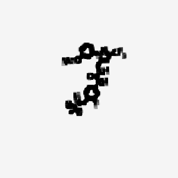 COc1cccc(-n2nc(C(F)(F)F)cc2CNC(=O)Nc2ccc(CNS(C)(=O)=O)c(F)c2)c1